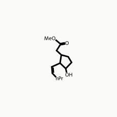 CCC/C=C\C1C(O)CCC1CC(=O)OC